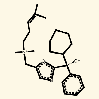 CC(C)=CCC[N+](C)(C)Cc1cnc([C@](O)(c2ccccc2)C2CCCCC2)o1